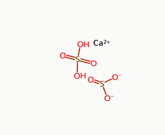 O=S(=O)(O)O.O=S([O-])[O-].[Ca+2]